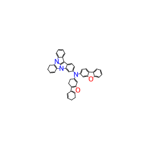 C1=Cc2c(oc3c2CCC(N(c2ccc4c(c2)oc2ccccc24)c2ccc4c5c6ccccc6n6c7c(n(c4c2)c56)C=CCC7)=C3)CC1